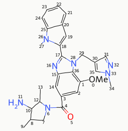 COc1cc(C(=O)N2CC(C)C(N)C2C)cc2nc(-c3cc4ccccc4n3C)n(Cc3cnn(C)c3)c12